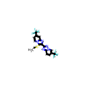 CCSc1c(-c2nc3ccc(C(F)(F)F)cn3n2)nc2cc(C(F)(F)F)ccn12